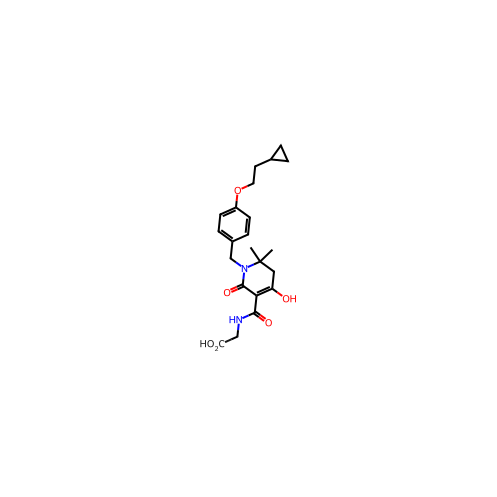 CC1(C)CC(O)=C(C(=O)NCC(=O)O)C(=O)N1Cc1ccc(OCCC2CC2)cc1